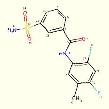 Cc1cc(NC(=O)c2cccc(S(N)(=O)=O)c2)c(F)cc1F